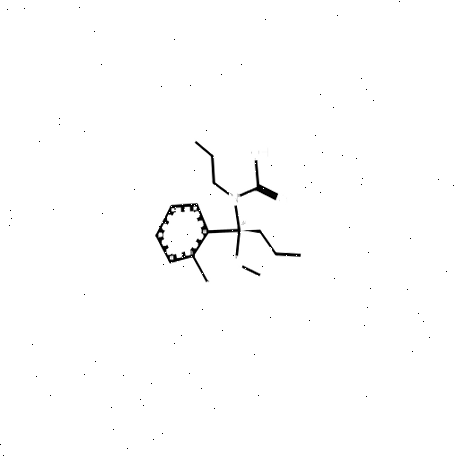 CCCN(C(=O)O)[C@](CCC)(OC)c1ccccc1I